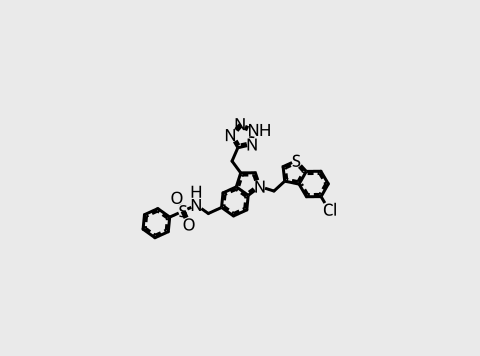 O=S(=O)(NCc1ccc2c(c1)c(Cc1nn[nH]n1)cn2Cc1csc2ccc(Cl)cc12)c1ccccc1